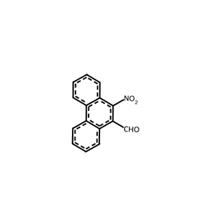 O=Cc1c([N+](=O)[O-])c2ccccc2c2ccccc12